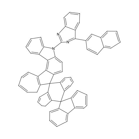 C1=CCC2=C(C=C1)c1c(ccc3c1c1ccccc1n3-c1nc(-c3ccc4ccccc4c3)c3ccccc3n1)C21C2=C(CCC=C2)C2(c3ccccc3-c3ccccc32)c2ccccc21